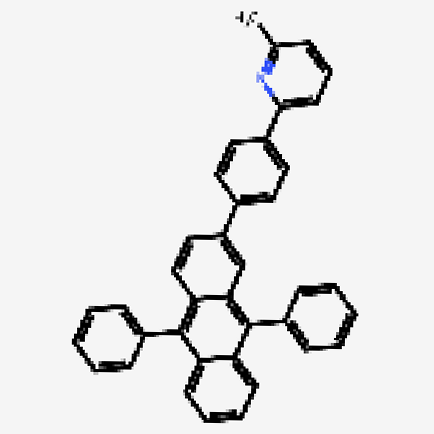 Cc1cccc(-c2ccc(-c3ccc4c(-c5ccccc5)c5ccccc5c(-c5ccccc5)c4c3)cc2)n1